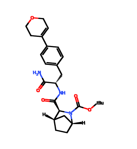 CC(C)(C)OC(=O)N1[C@@H]2CC[C@@H](C2)[C@H]1C(=O)N[C@@H](Cc1ccc(C2=CCOCC2)cc1)C(N)=O